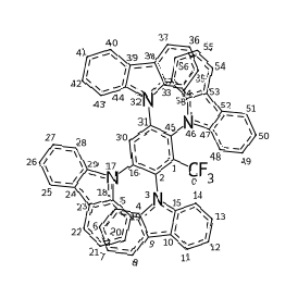 FC(F)(F)c1c(-n2c3ccccc3c3ccccc32)c(-n2c3ccccc3c3ccccc32)cc(-n2c3ccccc3c3ccccc32)c1-n1c2ccccc2c2ccccc21